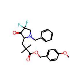 COc1ccc(COC(=O)C(C)(C)CC2C(=O)C(F)(F)CN2Cc2ccccc2)cc1